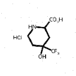 Cl.O=C(O)C1CC(O)(C(F)(F)F)CCN1